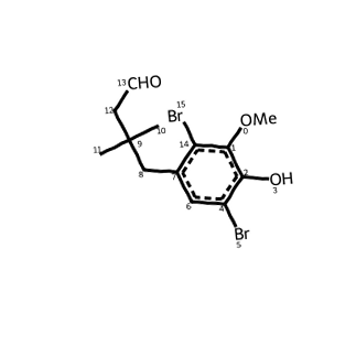 COc1c(O)c(Br)cc(CC(C)(C)CC=O)c1Br